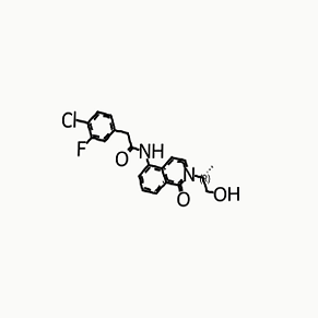 C[C@H](CO)n1ccc2c(NC(=O)Cc3ccc(Cl)c(F)c3)cccc2c1=O